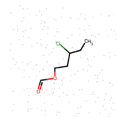 CCC(Cl)CCOC=O